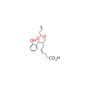 C=CCC1OCC(C/C=C\CCC(=O)O)C(c2ccccc2O)O1